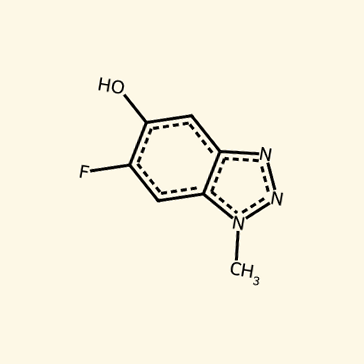 Cn1nnc2cc(O)c(F)cc21